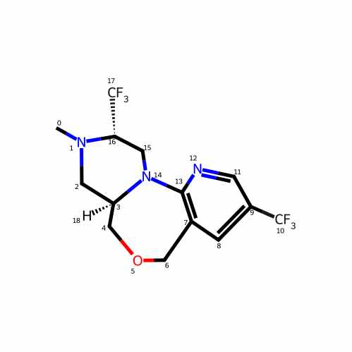 CN1C[C@@H]2COCc3cc(C(F)(F)F)cnc3N2C[C@H]1C(F)(F)F